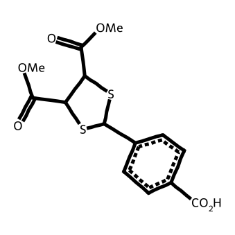 COC(=O)C1SC(c2ccc(C(=O)O)cc2)SC1C(=O)OC